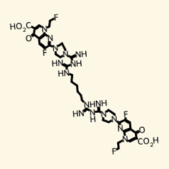 N=C(NCCCCCCNC(=N)NC(=N)N1CCN(c2nc3c(cc2F)c(=O)c(C(=O)O)cn3CCF)CC1)NC(=N)N1CCN(c2nc3c(cc2F)c(=O)c(C(=O)O)cn3CCF)CC1